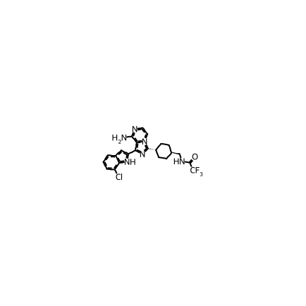 Nc1nccn2c1c(-c1cc3cccc(Cl)c3[nH]1)nc2[C@H]1CC[C@H](CNC(=O)C(F)(F)F)CC1